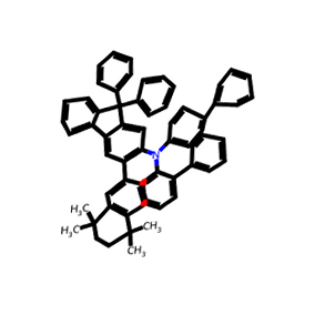 CC1(C)CCC(C)(C)c2cc(-c3cc4c(cc3N(c3ccc(-c5ccccc5)cc3)c3ccccc3-c3ccccc3)C(c3ccccc3)(c3ccccc3)c3ccccc3-4)ccc21